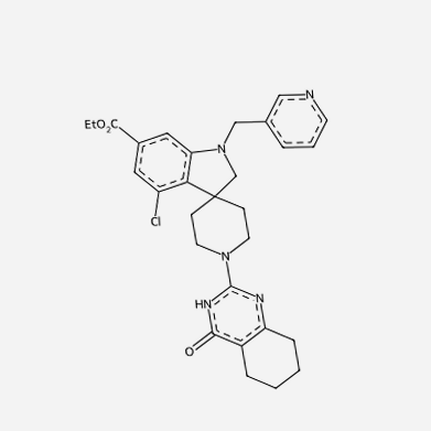 CCOC(=O)c1cc(Cl)c2c(c1)N(Cc1cccnc1)CC21CCN(c2nc3c(c(=O)[nH]2)CCCC3)CC1